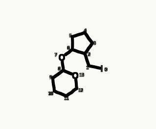 ICC1CCCC1OC1CCCCO1